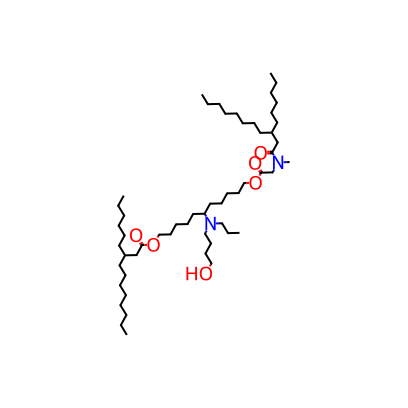 CCCCCCCCC(CCCCCC)CC(=O)OCCCCCC(CCCCCOC(=O)CN(C)C(=O)CC(CCCCCC)CCCCCCCC)N(CCC)CCCCO